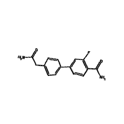 NC(=O)Cc1ccc(-c2ccc(C(N)=O)c(F)c2)cc1